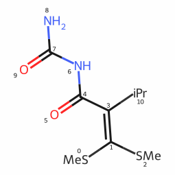 CSC(SC)=C(C(=O)NC(N)=O)C(C)C